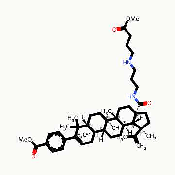 C=C(C)[C@]1(C)CC[C@]2(C(=O)NCCCNCCCC(=O)OC)CC[C@]3(C)[C@H](CC[C@@H]4[C@@]5(C)CC=C(c6ccc(C(=O)OC)cc6)C(C)(C)[C@@H]5CC[C@]43C)[C@H]21